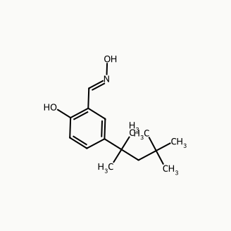 CC(C)(C)CC(C)(C)c1ccc(O)c(C=NO)c1